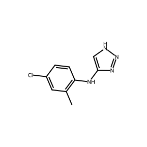 Cc1cc(Cl)ccc1Nc1c[nH]nn1